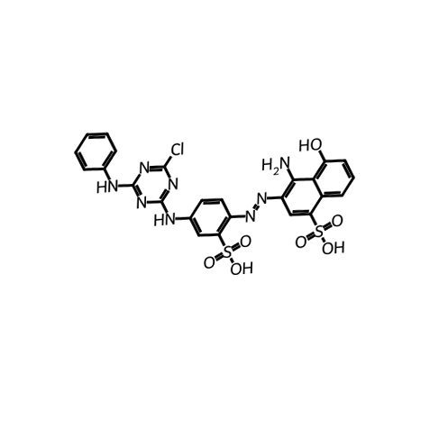 Nc1c(N=Nc2ccc(Nc3nc(Cl)nc(Nc4ccccc4)n3)cc2S(=O)(=O)O)cc(S(=O)(=O)O)c2cccc(O)c12